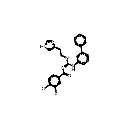 O=C(/N=C(/NCCc1c[nH]cn1)Nc1cccc(-c2ccccc2)c1)c1ccc(Cl)c(Br)c1